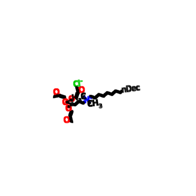 CCCCCCCCCCCCCCCCCC[N+](C)(C)CCC[Si](OC=C1CO1)(OC=C1CO1)OC=C1CO1.[Cl-]